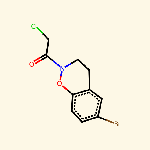 O=C(CCl)N1CCc2cc(Br)ccc2O1